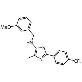 COc1cccc(CNc2sc(-c3ccc(C(F)(F)F)cc3)nc2C)c1